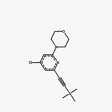 C[Si](C)(C)C#Cc1cc(Cl)cc(N2CCOCC2)n1